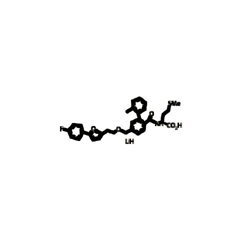 CSCC[C@H](NC(=O)c1ccc(COCCc2ccc(-c3ccc(F)cc3)o2)cc1-c1ccccc1C)C(=O)O.[LiH]